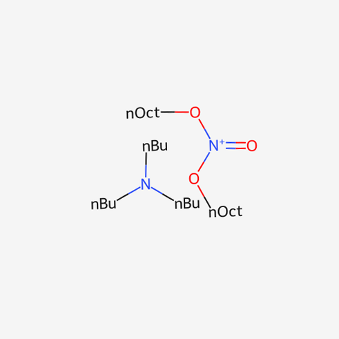 CCCCCCCCO[N+](=O)OCCCCCCCC.CCCCN(CCCC)CCCC